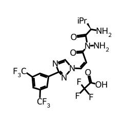 CC(C)[C@@H](N)C(=O)N(N)C(=O)/C=C\n1cnc(-c2cc(C(F)(F)F)cc(C(F)(F)F)c2)n1.O=C(O)C(F)(F)F